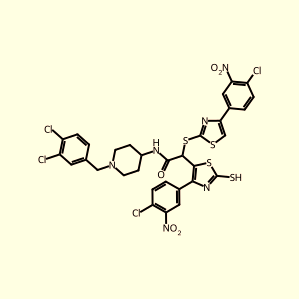 O=C(NC1CCN(Cc2ccc(Cl)c(Cl)c2)CC1)C(Sc1nc(-c2ccc(Cl)c([N+](=O)[O-])c2)cs1)c1sc(S)nc1-c1ccc(Cl)c([N+](=O)[O-])c1